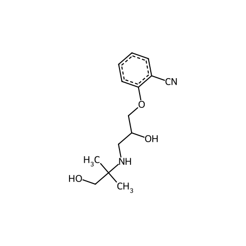 CC(C)(CO)NCC(O)COc1ccccc1C#N